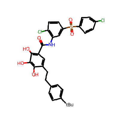 CC(C)(C)c1ccc(CCc2cc(C(=O)Nc3cc(S(=O)(=O)c4ccc(Cl)cc4)ccc3Cl)c(O)c(O)c2O)cc1